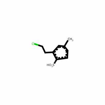 Cc1ccc(S(=O)(=O)O)c(CCCl)c1